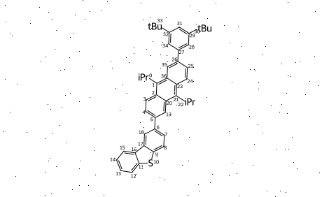 CC(C)c1c2ccc(-c3ccc4sc5ccccc5c4c3)cc2c(C(C)C)c2ccc(-c3cc(C(C)(C)C)cc(C(C)(C)C)c3)cc12